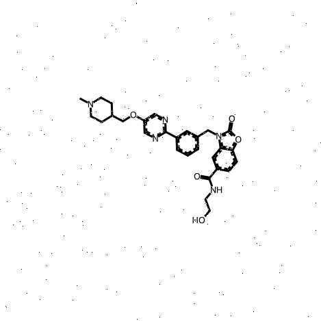 CN1CCC(COc2cnc(-c3cccc(Cn4c(=O)oc5ccc(C(=O)NCCO)cc54)c3)nc2)CC1